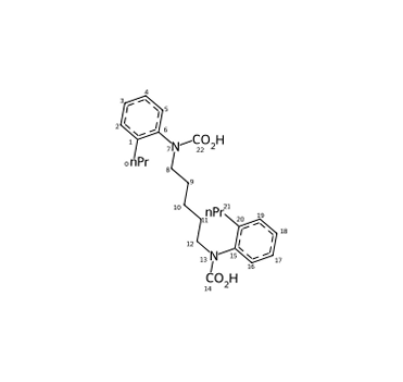 CCCc1ccccc1N(CCCCCN(C(=O)O)c1ccccc1CCC)C(=O)O